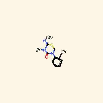 CC(C)c1ccccc1N1CSC(=NC(C)(C)C)N(C(C)C)C1=O